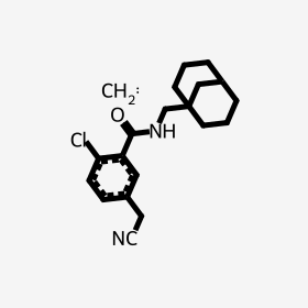 N#CCc1ccc(Cl)c(C(=O)NCC23CCCC(CCC2)C3)c1.[CH2]